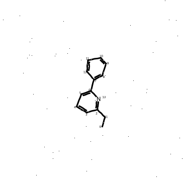 C[CH]c1cccc(-c2ccccc2)n1